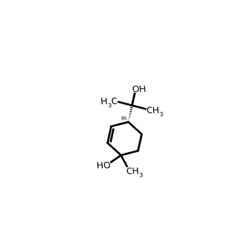 CC1(O)C=C[C@H](C(C)(C)O)CC1